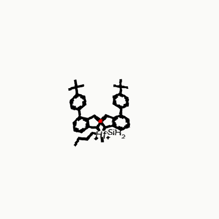 CCC[CH2][Hf]([CH3])([CH3])([CH3])(=[SiH2])([CH]1C=Cc2c(-c3ccc(C(C)(C)C)cc3)cccc21)[CH]1C=Cc2c(-c3ccc(C(C)(C)C)cc3)cccc21